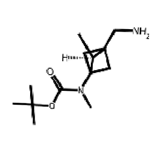 C[C@H]1C2(CN)CC1(N(C)C(=O)OC(C)(C)C)C2